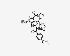 Cc1ccc(C(=O)Nc2nc3c(s2)c(C(=O)N2CCC[C@H]2CN2CCOCC2)nn3C(C)(C)C)cc1